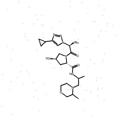 CC(CN1CCOCC1C)NC(=O)[C@@H]1C[C@@H](O)CN1C(=O)[C@@H](n1cc(C2CC2)nn1)C(C)(C)C